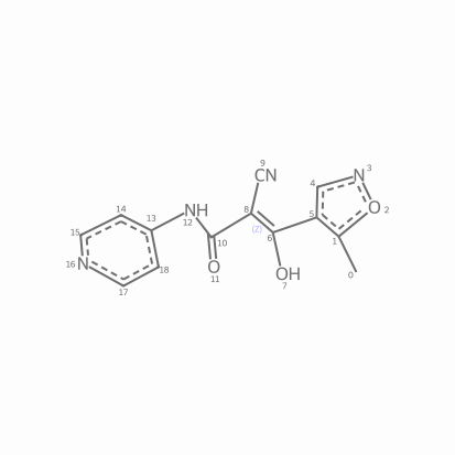 Cc1oncc1/C(O)=C(\C#N)C(=O)Nc1ccncc1